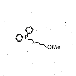 COCCCCCCCP(c1ccccc1)c1ccccc1